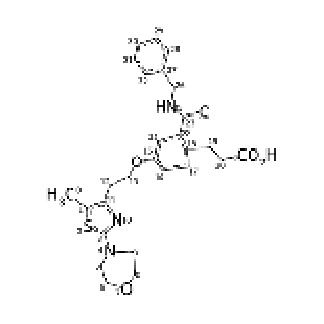 Cc1sc(N2CCOCC2)nc1CCOc1ccc(CCC(=O)O)c(C(=O)NCc2ccccc2)c1